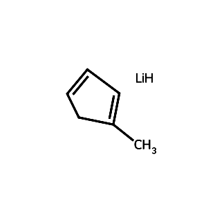 CC1=CC=CC1.[LiH]